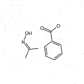 CC(C)=NO.[O]C(=O)c1ccccc1